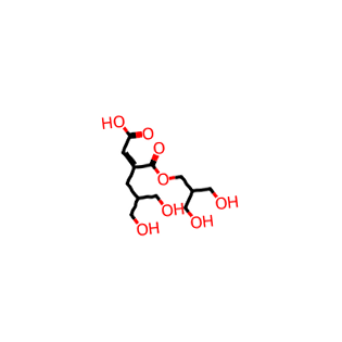 O=C(O)C=C(CC(CO)CO)C(=O)OCC(CO)CO